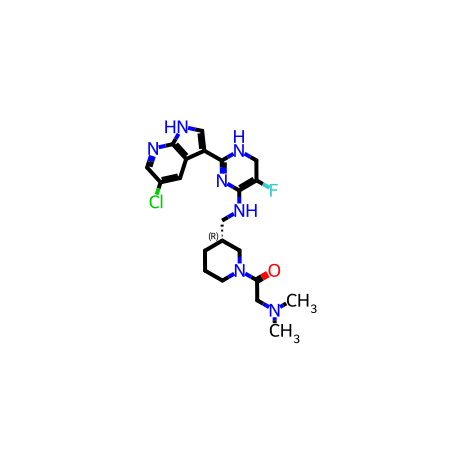 CN(C)CC(=O)N1CCC[C@H](CNC2=C(F)CNC(c3c[nH]c4ncc(Cl)cc34)=N2)C1